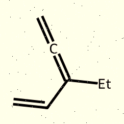 C=C=C(C=C)CC